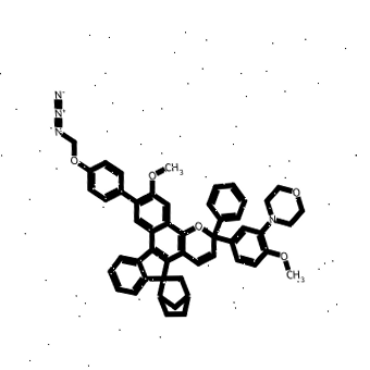 COc1cc2c3c(c4c(c2cc1-c1ccc(OCN=[N+]=[N-])cc1)-c1ccccc1C41CC2CCC1C2)C=CC(c1ccccc1)(c1ccc(OC)c(N2CCOCC2)c1)O3